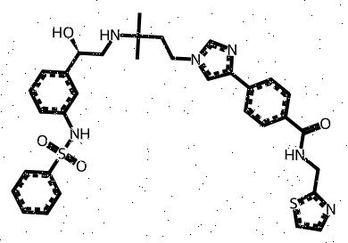 CC(C)(CCn1cnc(-c2ccc(C(=O)NCc3nccs3)cc2)c1)NC[C@H](O)c1cccc(NS(=O)(=O)c2ccccc2)c1